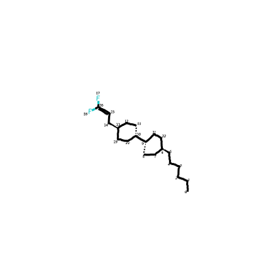 CCCCCC[C@H]1CC[C@H]([C@H]2CC[C@H](CC=C(F)F)CC2)CC1